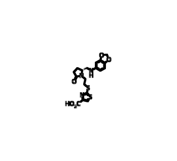 O=C(O)c1csc(SCCN2C(=O)CC[C@@H]2CNc2ccc3c(c2)OCO3)n1